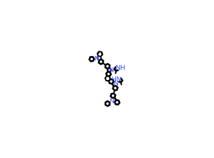 Cc1c[nH]cc1-n1c2ccc(-c3ccc4c(c3)C3C=CC=CC3N4c3ccccc3)cc2c2cc3c(cc21)-c1cc2c(cc1CC3)c1cc(-c3ccc4c(c3)c3ccccc3n4-c3ccccc3)ccc1n2-c1[nH]ccc1C